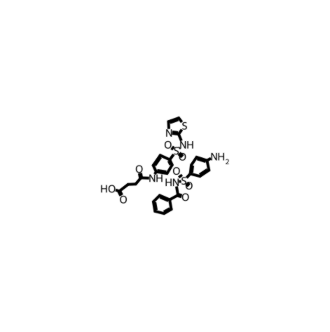 Nc1ccc(S(=O)(=O)NC(=O)c2ccccc2)cc1.O=C(O)CCC(=O)Nc1ccc(S(=O)(=O)Nc2nccs2)cc1